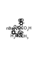 CCCCN(C(=O)CN1C[C@H](c2ccc3c(c2)OCO3)[C@@H](C(=O)O)[C@@H]1CCN1CCCN(C)C1=O)c1cccc(CN)c1